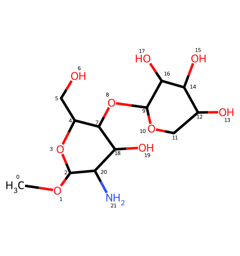 COC1OC(CO)C(OC2OCC(O)C(O)C2O)C(O)C1N